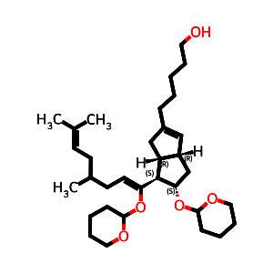 CC(C)=CCC(C)CC=C(OC1CCCCO1)[C@H]1[C@@H]2CC(CCCCCO)=C[C@@H]2C[C@@H]1OC1CCCCO1